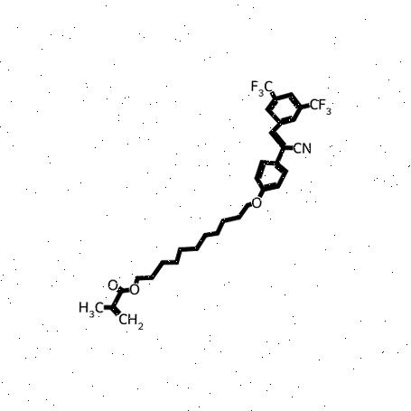 C=C(C)C(=O)OCCCCCCCCCCCOc1ccc(/C(C#N)=C/c2cc(C(F)(F)F)cc(C(F)(F)F)c2)cc1